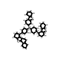 c1ccc2c(c1)ccc1c2oc2cccc(-c3ccc(N(c4ccc(-c5cccc6sc7ccccc7c56)cc4)c4ccc5c(c4)sc4ccccc45)cc3)c21